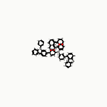 c1ccc(-n2c3ccccc3c3ccc(-c4ccc(N(c5cccc(-c6cccc7oc8ccccc8c67)c5)c5ccccc5-c5cccc6cccc(C7CCCCC7)c56)cc4)cc32)cc1